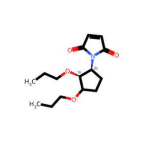 CCCOC1CC[C@H](N2C(=O)C=CC2=O)[C@@H]1OCCC